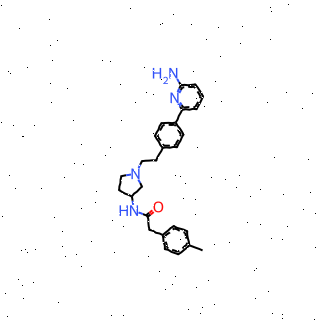 Cc1ccc(CC(=O)NC2CCN(CCc3ccc(-c4cccc(N)n4)cc3)C2)cc1